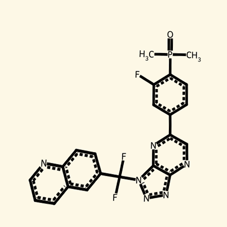 CP(C)(=O)c1ccc(-c2cnc3nnn(C(F)(F)c4ccc5ncccc5c4)c3n2)cc1F